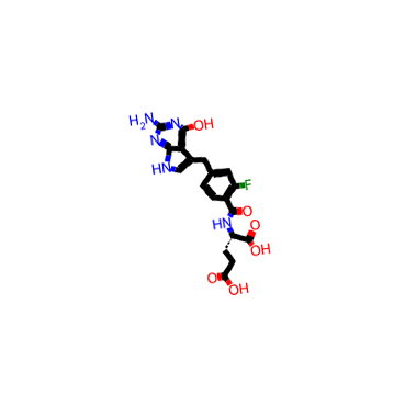 Nc1nc(O)c2c(Cc3ccc(C(=O)N[C@@H](CCC(=O)O)C(=O)O)c(F)c3)c[nH]c2n1